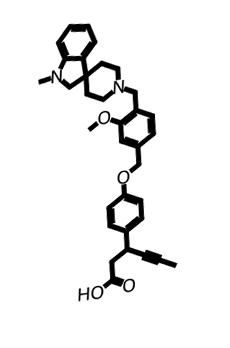 CC#CC(CC(=O)O)c1ccc(OCc2ccc(CN3CCC4(CC3)CN(C)c3ccccc34)c(OC)c2)cc1